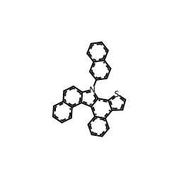 c1ccc2cc(-n3c4ccc5ccccc5c4c4c5ccccc5c5ccsc5c43)ccc2c1